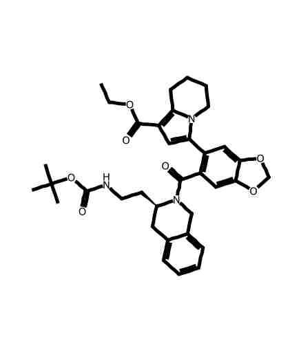 CCOC(=O)c1cc(-c2cc3c(cc2C(=O)N2Cc4ccccc4C[C@H]2CCNC(=O)OC(C)(C)C)OCO3)n2c1CCCC2